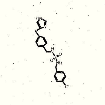 O=S(=O)(NCc1ccc(Cl)cc1)NCc1ccc(Cc2c[nH]cn2)cc1